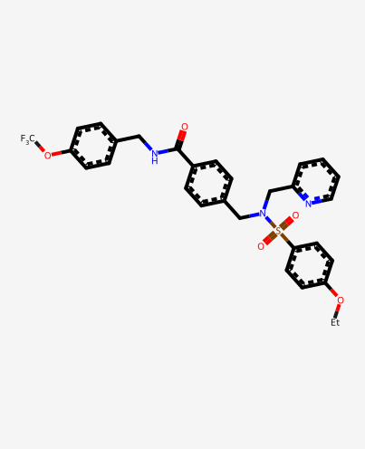 CCOc1ccc(S(=O)(=O)N(Cc2ccc(C(=O)NCc3ccc(OC(F)(F)F)cc3)cc2)Cc2ccccn2)cc1